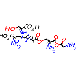 NCC(=O)OC[C@H](N)C(=O)OC(=O)CN.N[C@@H](CCC(=O)O)C(=O)O.N[C@@H](CO)C(=O)O